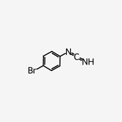 N=C=Nc1ccc(Br)cc1